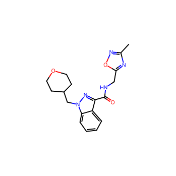 Cc1noc(CNC(=O)c2nn(CC3CCOCC3)c3ccccc23)n1